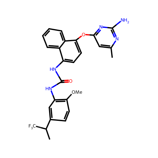 COc1ccc(C(C)C(F)(F)F)cc1NC(=O)Nc1ccc(Oc2cc(C)nc(N)n2)c2ccccc12